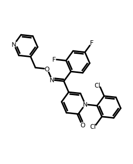 O=c1ccc(C(=NOCc2cccnc2)c2ccc(F)cc2F)cn1-c1c(Cl)cccc1Cl